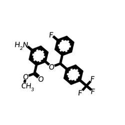 COC(=O)c1cc(N)ccc1OC(c1ccc(C(F)(F)F)cc1)c1cccc(F)c1